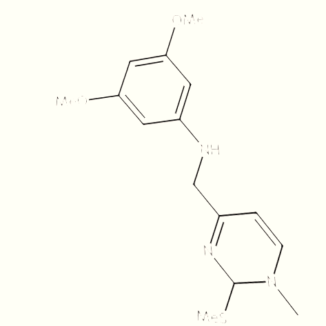 COc1cc(NCC2=NC(SC)N(C)C=C2)cc(OC)c1